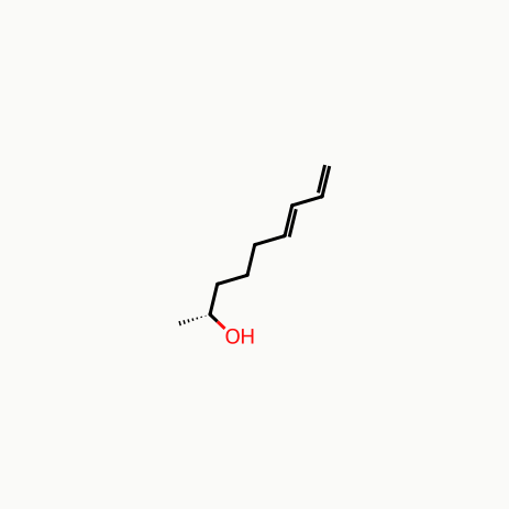 C=CC=CCCC[C@@H](C)O